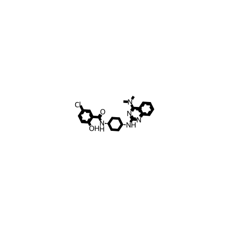 CN(C)c1nc(N[C@H]2CC[C@@H](NC(=O)c3cc(Cl)ccc3O)CC2)nc2ccccc12